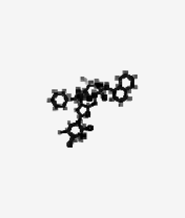 Cc1cn([C@H]2C[C@@H](O)[C@@H](COP(=O)(N[C@@H](C)C(=O)OCc3ccccc3)Oc3cccc4ccccc34)O2)c(=O)[nH]c1=O